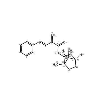 C=C(C=Cc1ccccc1)C(=O)OC1C[C@H]2CC[C@@]1(C)C2(C)C